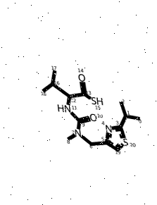 CC(C)c1nc(CN(C)C(=O)NC(C(=O)S)C(C)C)cs1